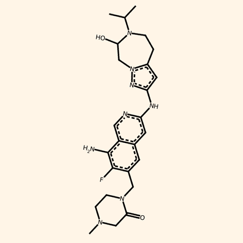 CC(C)N1CCc2cc(Nc3cc4cc(CN5CCN(C)CC5=O)c(F)c(N)c4cn3)nn2CC1O